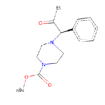 CCCCOC(=O)N1CCN([C@@H](C(=O)CC)c2ccccc2)CC1